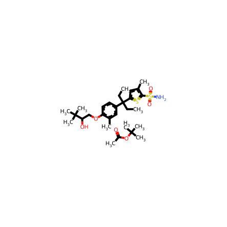 CC(=O)OC(C)(C)C.CCC(CC)(c1ccc(OCC(O)C(C)(C)C)c(C)c1)c1cc(C)c(S(N)(=O)=O)s1